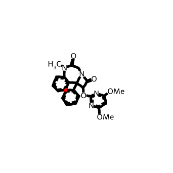 COc1cc(OC)nc(OC2C(=O)N3CC(=O)N(C)c4ccccc4C23c2ccccc2)n1